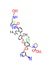 Cc1c(COc2cc(OCc3cncc(C#N)c3)c(CN3CCCC[C@H]3C(=O)O)cc2Cl)cccc1-c1cccc(NC(=O)c2ncc(CNCCO)s2)c1C